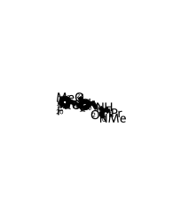 CNC(=O)C(CC(C)C)NCCc1ccc(OCc2cccc(F)c2)c(OC)c1